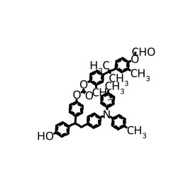 Cc1ccc(N(c2ccc(C)cc2)c2ccc(CC(c3ccc(O)cc3)c3ccc(OC(=O)Oc4ccc(C(C)(C)c5ccc(OC=O)c(C)c5)cc4C)cc3)cc2)cc1